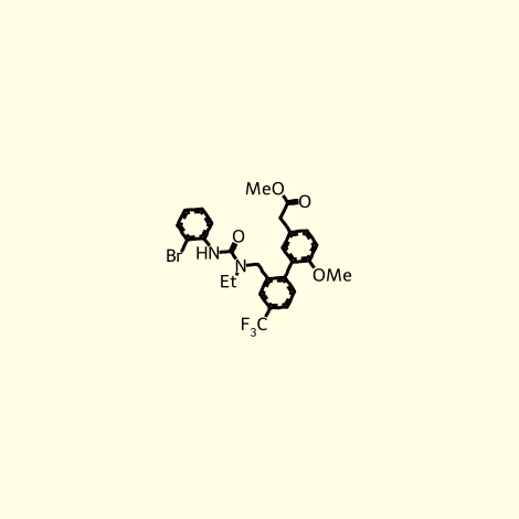 CCN(Cc1cc(C(F)(F)F)ccc1-c1cc(CC(=O)OC)ccc1OC)C(=O)Nc1ccccc1Br